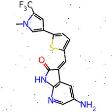 Cn1cc(-c2ccc(C=C3C(=O)Nc4ncc(N)cc43)s2)cc1C(F)(F)F